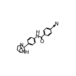 N#Cc1ccc(C(=O)Nc2ccc(C3CNC4CCN3CC4)cc2)cc1